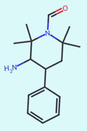 CC1(C)CC(c2ccccc2)C(N)C(C)(C)N1C=O